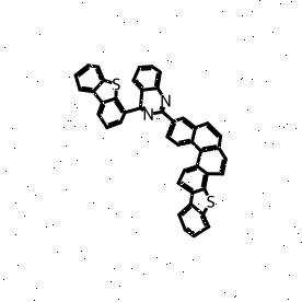 c1ccc2c(-c3cccc4c3sc3ccccc34)nc(-c3ccc4c(ccc5ccc6c(ccc7c8ccccc8sc76)c54)c3)nc2c1